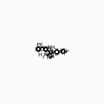 CN1CCN(C2CCC(n3nc(-c4ccc(Cc5ccccc5C(F)(F)F)cc4N)c4c(N)ncnc43)CC2)CC1